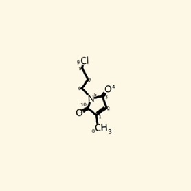 CC1=CC(=O)N(CCCCl)C1=O